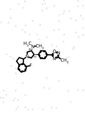 Cc1noc(-c2ccc([C@H]3CN(C4CCc5cccc(F)c54)C[C@@H]3N(C)C)cc2)n1